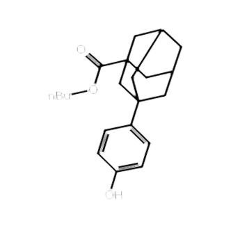 CCCCOC(=O)C12CC3CC(C1)CC(c1ccc(O)cc1)(C3)C2